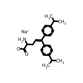 CC(C)c1ccc(C(=CCC(N)C(=O)[O-])c2ccc(C(C)C)cc2)cc1.[Na+]